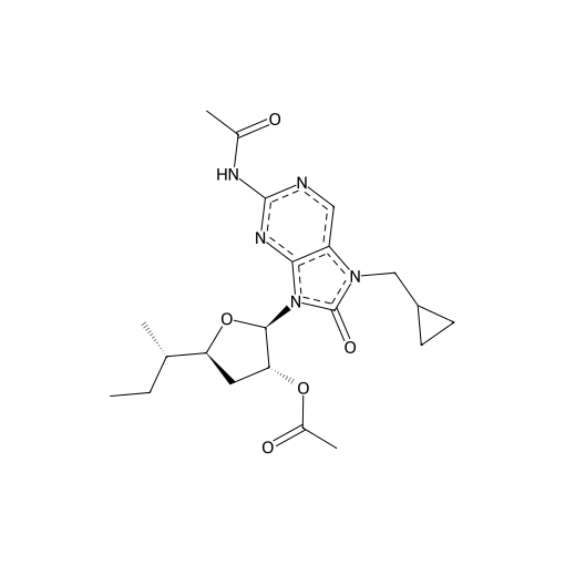 CC[C@H](C)[C@@H]1C[C@@H](OC(C)=O)[C@H](n2c(=O)n(CC3CC3)c3cnc(NC(C)=O)nc32)O1